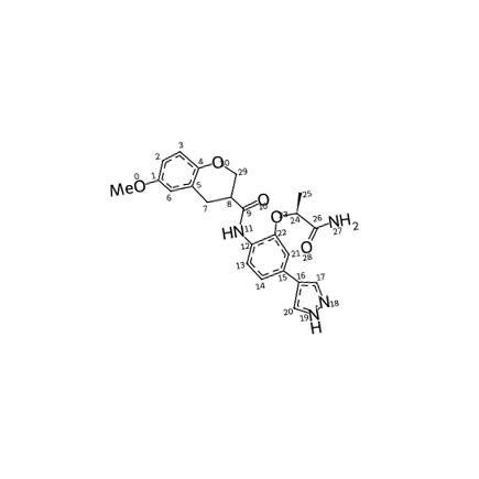 COc1ccc2c(c1)CC(C(=O)Nc1ccc(-c3cn[nH]c3)cc1O[C@@H](C)C(N)=O)CO2